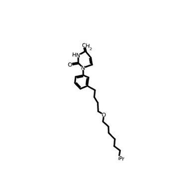 C=C1C=CN(c2cccc(CCCCOCCCCCCC(C)C)c2)C(=O)N1